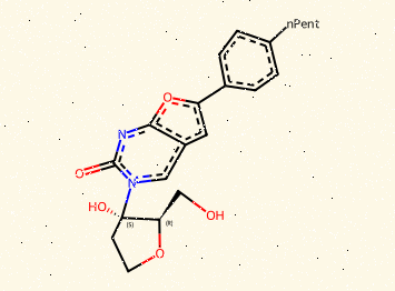 CCCCCc1ccc(-c2cc3cn([C@]4(O)CCO[C@@H]4CO)c(=O)nc3o2)cc1